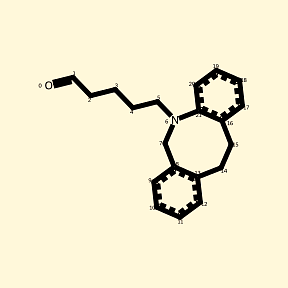 O=CCCCCN1Cc2ccccc2CCc2ccccc21